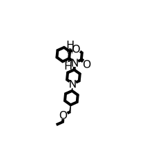 CCOC[C@H]1CC[C@H](N2CCC(N3C(=O)CO[C@@H]4CCCC[C@@H]43)CC2)CC1